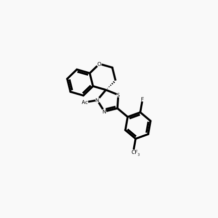 CC(=O)N1N=C(c2cc(C(F)(F)F)ccc2F)S[C@@]12CCOc1ccccc12